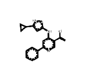 C=C(Cl)c1cnc(-c2ccccc2)cc1Nc1cc(C2CC2)[nH]n1